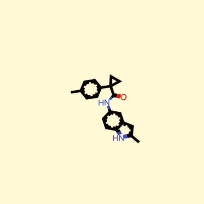 Cc1ccc(C2(C(=O)Nc3ccc4[nH]c(C)cc4c3)CC2)cc1